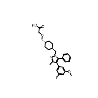 COc1cc(F)cc(-c2c(C)nn(C[C@H]3CC[C@H](COCC(=O)O)CC3)c2-c2ccccc2)c1